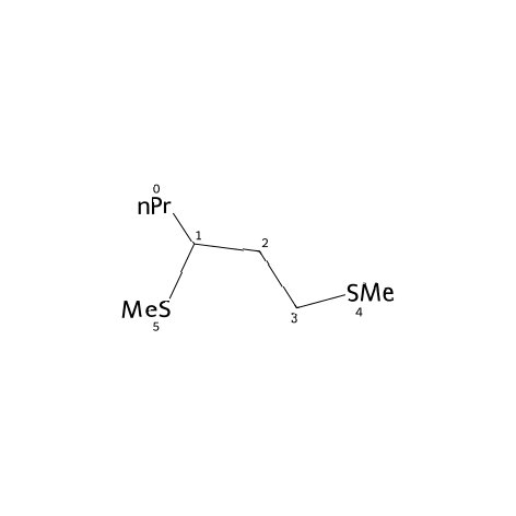 [CH2]CCC(CCSC)SC